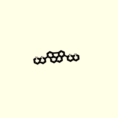 c1cnc2nc(-c3ccc4c5c3ccc3ccc6c(-c7ccc8cccnc8n7)ccc-4c6c35)ccc2c1